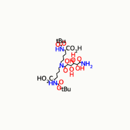 CC(C)(C)OC(=O)N[C@@H](CCCCN(CCCC[C@H](NC(=O)OC(C)(C)C)C(=O)O)C(=O)[C@H](O)[C@@H](O)[C@H](O)[C@H](O)C(N)=O)C(=O)O